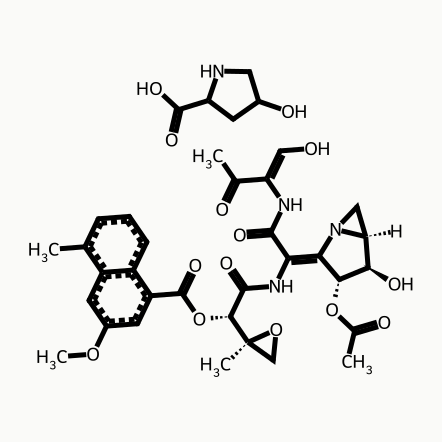 COc1cc(C(=O)O[C@H](C(=O)N/C(C(=O)N/C(=C\O)C(C)=O)=C2\[C@@H](OC(C)=O)[C@H](O)[C@@H]3CN23)[C@]2(C)CO2)c2cccc(C)c2c1.O=C(O)C1CC(O)CN1